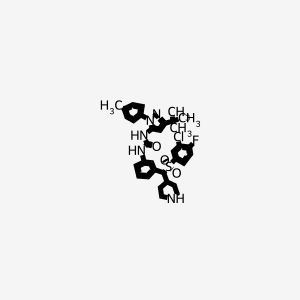 Cc1ccc(-n2nc(C(C)(C)C)cc2NC(=O)Nc2cccc(C(C3CCNCC3)S(=O)(=O)c3ccc(F)c(Cl)c3)c2)cc1